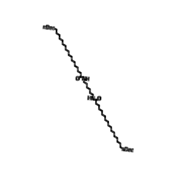 CCCCCCCCCCCCCCCCCCCCCCCCCCCC(=O)NCCCCCCNC(=O)CCCCCCCCCCCCCCCCCCCCCCCCCCC